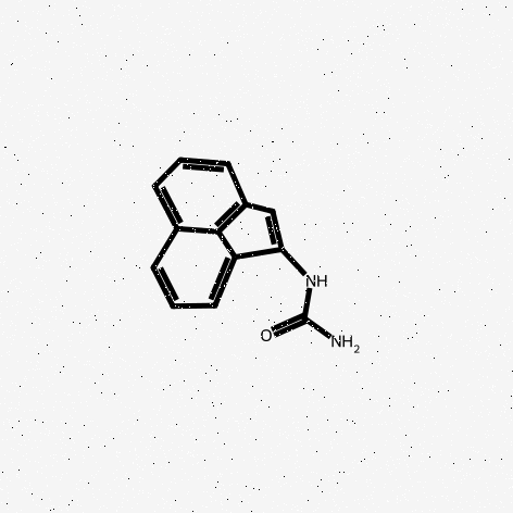 NC(=O)NC1=Cc2cccc3cccc1c23